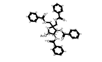 CC(=O)O[C@H]1OC(COC(=O)c2ccccc2)(COC(=O)c2ccccc2)[C@@H](OC(=O)c2ccccc2)[C@H]1OC(=O)c1ccccc1